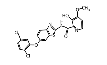 COc1ccnc(C(=O)Nc2nc3ccc(Oc4cc(Cl)ccc4Cl)cc3s2)c1O